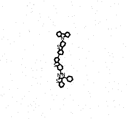 c1ccc(-c2nc(-c3ccc4c(c3)sc3ccc(-c5ccc6c(c5)sc5cc(-n7c8ccccc8c8ccccc87)ccc56)cc34)nc3sc4ccccc4c23)cc1